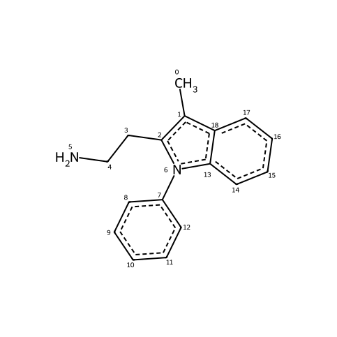 Cc1c(CCN)n(-c2ccccc2)c2ccccc12